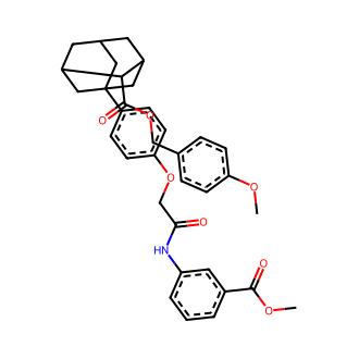 COC(=O)c1cccc(NC(=O)COc2ccc(C34CC5CC(C3)C(C(=O)OCc3ccc(OC)cc3)C(C5)C4)cc2)c1